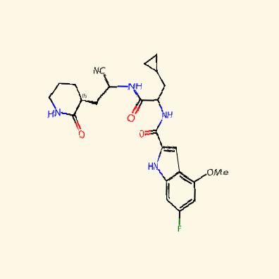 COc1cc(F)cc2[nH]c(C(=O)NC(CC3CC3)C(=O)NC(C#N)C[C@@H]3CCCNC3=O)cc12